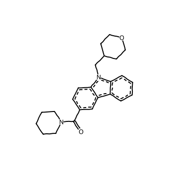 O=C(c1ccc2c(c1)c1ccccc1n2CC1CCOCC1)N1CCCCC1